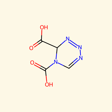 O=C(O)C1N=NN=CN1C(=O)O